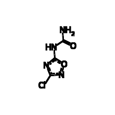 NC(=O)Nc1nc(Cl)no1